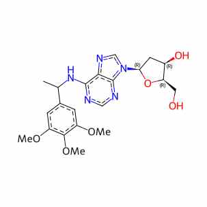 COc1cc(C(C)Nc2ncnc3c2ncn3[C@H]2C[C@@H](O)[C@@H](CO)O2)cc(OC)c1OC